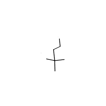 CC(C)(C)CC[O-].[K+]